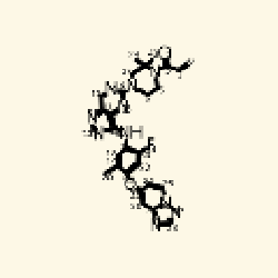 C=CC(=O)N1CCN(c2ncc3ncnc(Nc4cc(C)c(Oc5ccn6ncnc6c5)cc4F)c3n2)CC1(C)C